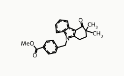 COC(=O)c1ccc(Cn2c3c(c4ccccc42)C(=O)C(C)(C)CC3)cc1